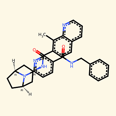 Cc1c(C(=O)N[C@H]2C[C@H]3CC[C@@H](C2)N3c2ccc(C(=O)NCc3ccccc3)cn2)ccc2cccnc12